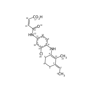 CC=C1CCCC(Nc2ccc(NC(=O)/C=C\C(=O)O)cc2Cl)=C1C